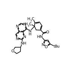 CC1=CC=C(C(=O)Nc2cc(C(C)(C)C)on2)CC1(C)Nc1ncnc2cnc(NC3CCOC3)nc12